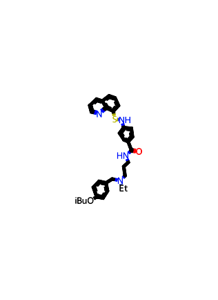 CCN(CCCNC(=O)c1ccc(NSc2cccc3cccnc23)cc1)Cc1ccc(OCC(C)C)cc1